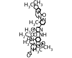 C=CC(=O)Nc1cc(Nc2nc(-c3ccnc(N4CCn5c(cc6c5CC(C)(C)C6)C4=O)c3C)cn(C)c2=O)cc(S(=O)(=O)C(C)C)c1N1CCN(C2COC2)C[C@@H]1C